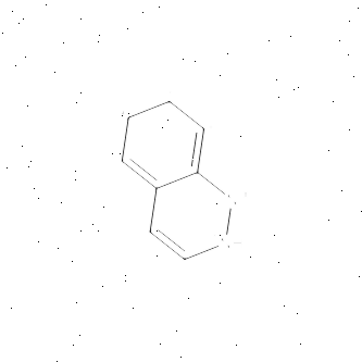 C1=CC2=CCCC=C2[N]N1